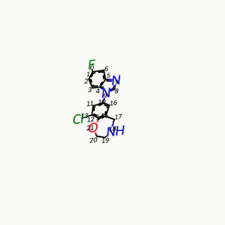 Fc1ccc2c(c1)ncn2-c1cc(Cl)c2c(c1)CNCCO2